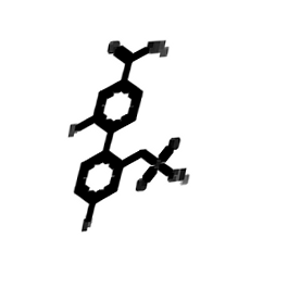 CS(=O)(=O)Cc1cc(F)ccc1-c1ccc(C(N)=O)cc1F